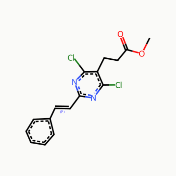 COC(=O)CCc1c(Cl)nc(/C=C/c2ccccc2)nc1Cl